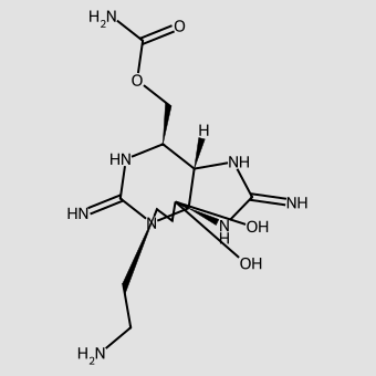 N=C1N[C@H]2[C@H](COC(N)=O)NC(=N)N3[C@@H](CCN)CC(O)(O)[C@]23N1